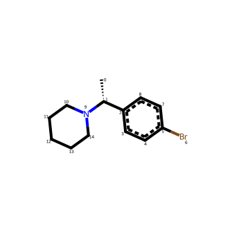 C[C@H](c1ccc(Br)cc1)N1CCCCC1